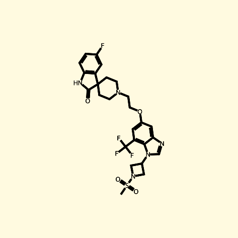 CS(=O)(=O)N1CC(n2cnc3cc(OCCN4CCC5(CC4)C(=O)Nc4ccc(F)cc45)cc(C(F)(F)F)c32)C1